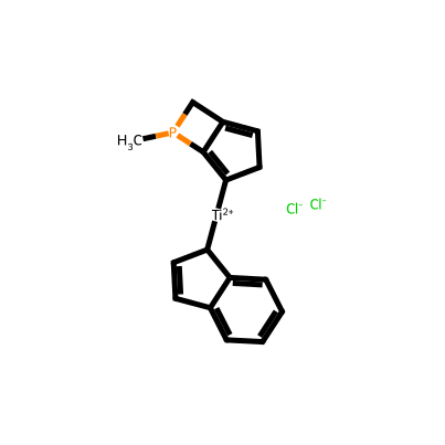 CP1CC2=CC[C]([Ti+2][CH]3C=Cc4ccccc43)=C21.[Cl-].[Cl-]